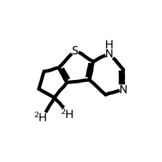 [2H]C1([2H])CCc2sc3c(c21)CN=CN3